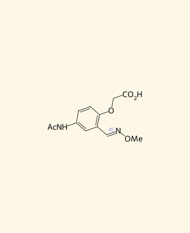 CO/N=C/c1cc(NC(C)=O)ccc1OCC(=O)O